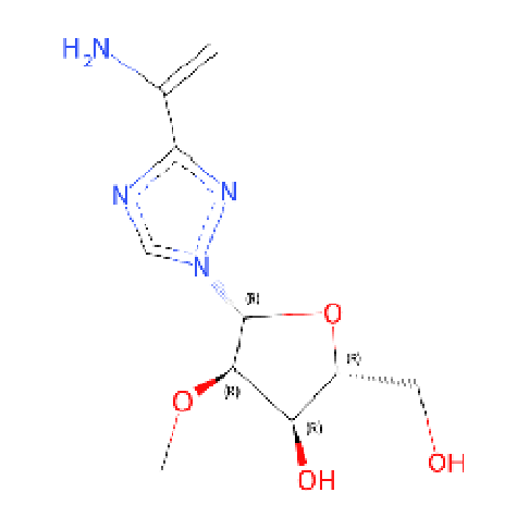 C=C(N)c1ncn([C@@H]2O[C@H](CO)[C@@H](O)[C@H]2OC)n1